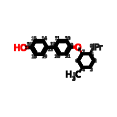 CC(C)[C@H]1CC[C@H](C)C[C@@H]1Oc1ccc(-c2ccc(O)cc2)cc1